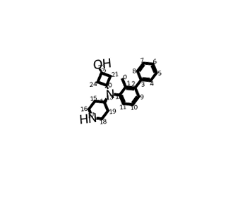 Cc1c(-c2ccccc2)cccc1N(C1CCNCC1)[C@H]1C[C@H](O)C1